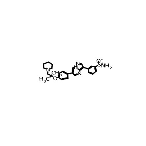 CC(C)(CN1CCCCC1)Oc1ccc(-c2cnc3c(-c4cccc([S+](N)[O-])c4)cnn3c2)cc1